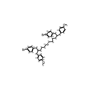 COc1ccc(CC(CCCCSCCCCC(Cc2ccc(Br)cc2)Cc2ccc(OC)cc2)Cc2ccc(Br)cc2)cc1